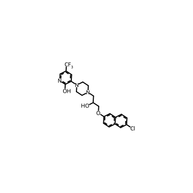 Oc1ncc(C(F)(F)F)cc1N1CCN(CC(O)COc2ccc3cc(Cl)ccc3c2)CC1